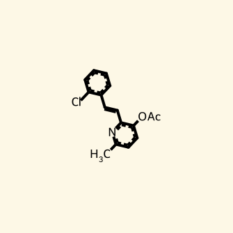 CC(=O)Oc1ccc(C)nc1/C=C/c1ccccc1Cl